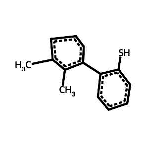 Cc1cccc(-c2ccccc2S)c1C